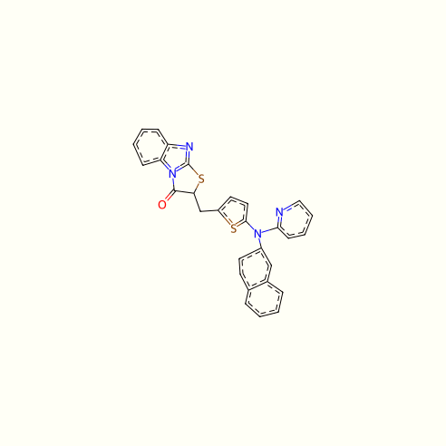 O=C1C(Cc2ccc(N(c3ccc4ccccc4c3)c3ccccn3)s2)Sc2nc3ccccc3n21